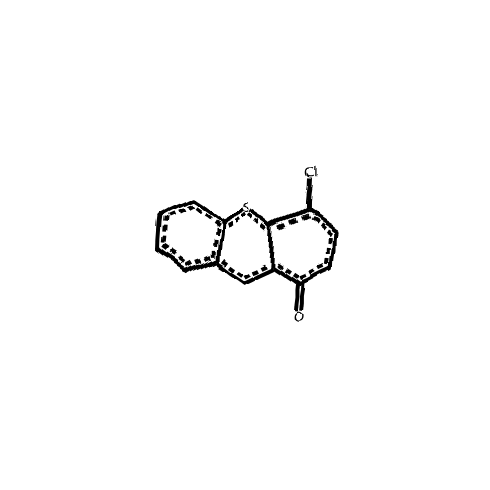 O=c1ccc(Cl)c2sc3ccccc3cc1-2